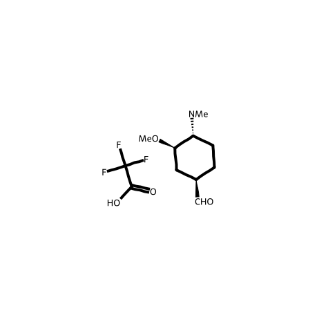 CN[C@@H]1CC[C@@H](C=O)C[C@H]1OC.O=C(O)C(F)(F)F